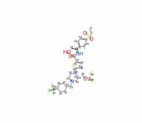 CCS(=O)(=O)c1ccc([C@H](CO)NC(=O)c2cnc(N3CCN(CC4CCC(C(F)(F)F)CC4)C[C@H]3COC(F)F)s2)cc1